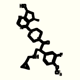 C[C@@H]1C[C@H](O)c2ncnc(N3CCN(C(=O)[C@H](CNCC4CC4)c4ccc(OC(F)(F)F)c(F)c4)CC3)c21